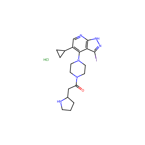 Cl.O=C(CC1CCCN1)N1CCN(c2c(C3CC3)cnc3[nH]nc(I)c23)CC1